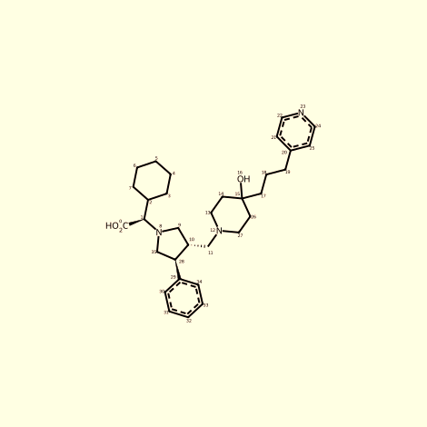 O=C(O)[C@@H](C1CCCCC1)N1C[C@H](CN2CCC(O)(CCCc3ccncc3)CC2)[C@@H](c2ccccc2)C1